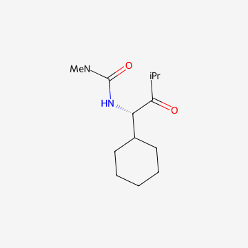 CNC(=O)N[C@H](C(=O)C(C)C)C1CCCCC1